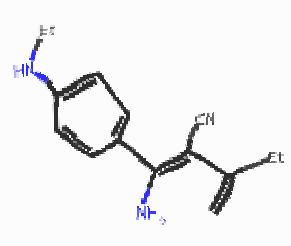 C=C(CC)/C(C#N)=C(\N)c1ccc(NCC)cc1